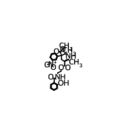 COC(=O)C1(c2cccc([N+](=O)[O-])c2)CC(C(=O)OCCNC(=O)c2ccccc2O)=C(C)NC1C